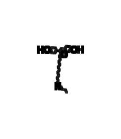 CCCCN(C)CCCCCCCCCCCC1Oc2cc(O)ccc2C=C1c1ccc(O)cc1